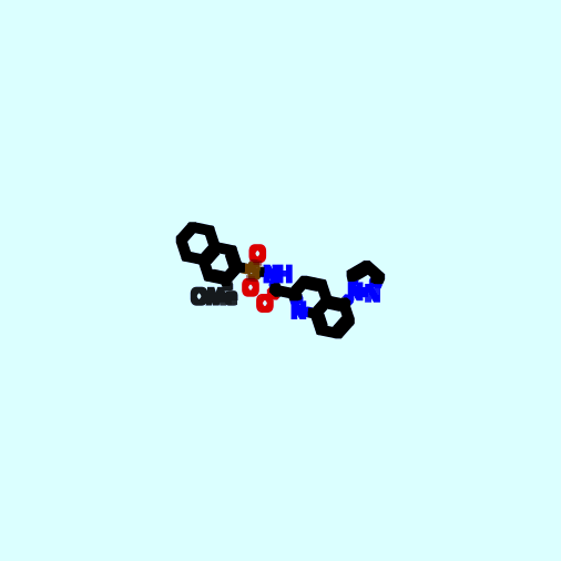 COc1cc2c(cc1S(=O)(=O)NC(=O)c1ccc3c(-n4cccn4)cccc3n1)CCCC2